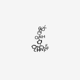 CC(C)(C)OC(=O)N1CCC(NC(=O)c2ccc(/C(=C/C(=N)C(F)(F)F)Nc3ccccc3Cl)cc2)C1